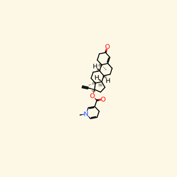 C#C[C@]1(OC(=O)C2=CN(C)C=CC2)CC[C@H]2[C@@H]3CCC4=CC(=O)CC[C@]4(C)[C@H]3CC[C@@]21C